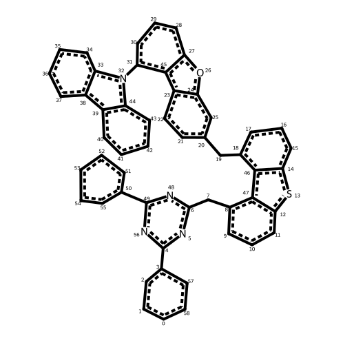 c1ccc(-c2nc(Cc3cccc4sc5cccc(Cc6ccc7c(c6)oc6cccc(-n8c9ccccc9c9ccccc98)c67)c5c34)nc(-c3ccccc3)n2)cc1